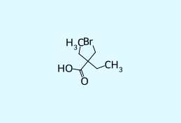 CCC(CC)(CBr)C(=O)O